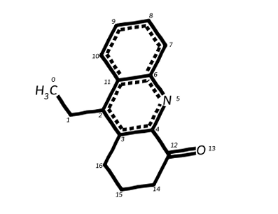 CCc1c2c(nc3ccccc13)C(=O)CCC2